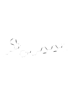 COCCCn1c([C@@H]2CCCN(C(=O)C[C@H](C)Cc3ccc(-c4ccc(C(=O)O)c(F)c4)cc3)C2)nc2ccccc21